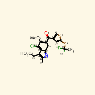 COC1=C(C(=O)c2csc(SC(F)(F)C(F)(F)F)c2)CC2=NC(C)=C(CC(=O)O)C2=C1Cl